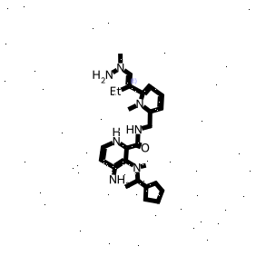 CC/C(=C\N(C)N)C1=CC=CC(CNC(=O)C2NC=CC(N)=C2N(C)C(C)C2CCCC2)N1C